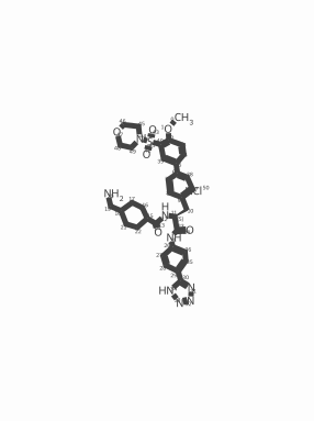 COc1ccc(-c2ccc(C[C@H](NC(=O)C3CCC(CN)CC3)C(=O)Nc3ccc(-c4nnn[nH]4)cc3)cc2)cc1S(=O)(=O)N1CCOCC1.Cl